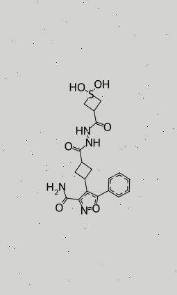 NC(=O)c1noc(-c2ccccc2)c1C1CC(C(=O)NNC(=O)C2CS(O)(O)C2)C1